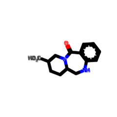 O=C(O)C1CCC2CNc3ccccc3C(=O)N2C1